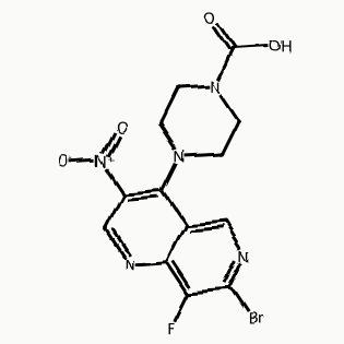 O=C(O)N1CCN(c2c([N+](=O)[O-])cnc3c(F)c(Br)ncc23)CC1